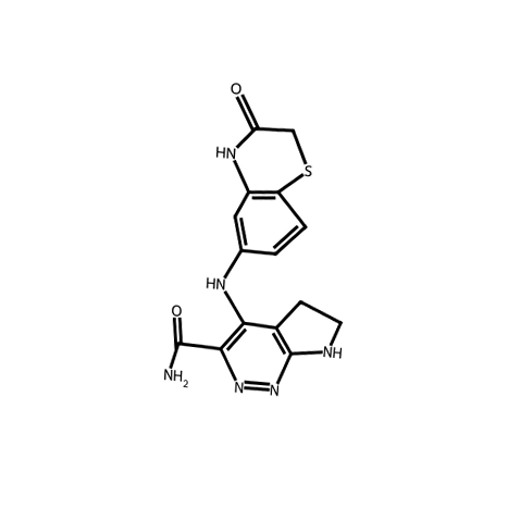 NC(=O)c1nnc2c(c1Nc1ccc3c(c1)NC(=O)CS3)CCN2